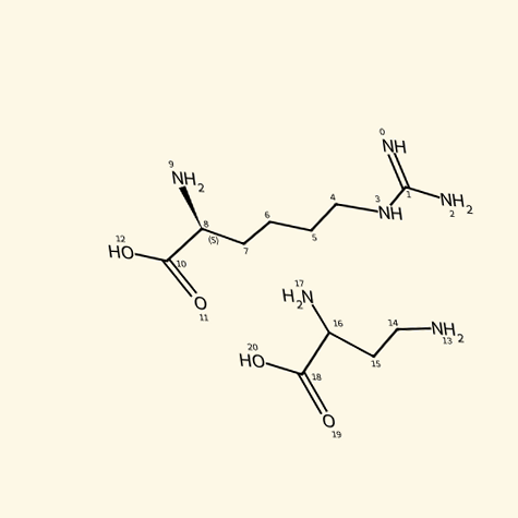 N=C(N)NCCCC[C@H](N)C(=O)O.NCCC(N)C(=O)O